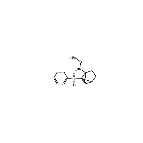 CCCCOC(=O)C12CCC(C=C1S(=O)(=O)c1ccc(C)cc1)N2